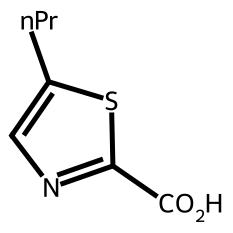 CCCc1cnc(C(=O)O)s1